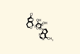 Cc1ncnc2c1ccn2[C@@H]1O[C@H](C2OCCc3cc(Cl)sc32)[C@@H](O)[C@H]1O